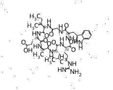 CC[C@H](C)[C@H](NC(=O)CNC(=O)[C@@H](N)Cc1c[nH]c2ccccc12)C(=O)N[C@@H](CCC(=O)O)C(=O)N[C@@H](C)C(=O)N[C@@H](CC(C)C)C(=O)N[C@@H](CCCNC(=N)N)C(=O)O